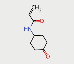 C=CC(=O)NC1CCC(=O)CC1